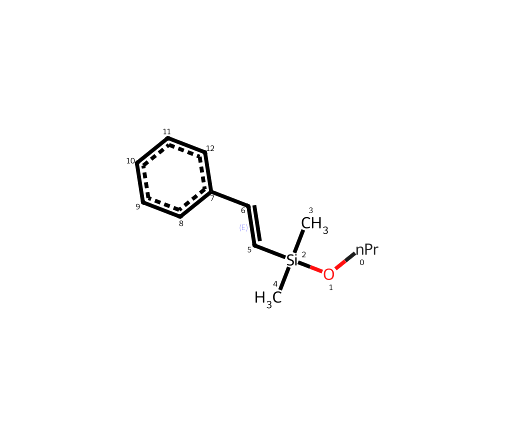 CCCO[Si](C)(C)/C=C/c1ccccc1